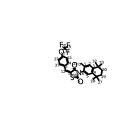 Cc1cc2c(cc1N1C(=O)SC(=Cc3ccc(OC(F)(F)F)cc3)C1=O)C(C)(C)CCC2(C)C